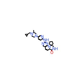 CC1CN(c2ccc(Nc3ncc4c(n3)N3C(C=C4)C(=O)NCC34CCCC4)nc2)CCN1CC1CC1